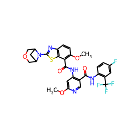 COc1cc(NC(=O)c2c(OC)ccc3nc(N4C5COCC4C5)sc23)c(C(=O)Nc2ccc(F)cc2C(F)(F)F)cn1